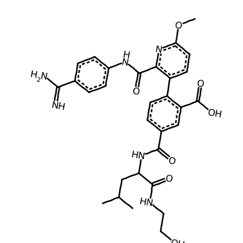 COc1ccc(-c2ccc(C(=O)NC(CC(C)C)C(=O)NCCO)cc2C(=O)O)c(C(=O)Nc2ccc(C(=N)N)cc2)n1